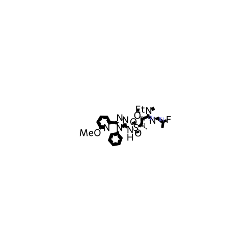 C=N/C(=N\C=C(/C)F)[C@@H](OCC)[C@H](C)S(=O)(=O)Nc1nnc(-c2cccc(OC)n2)n1-c1ccccc1